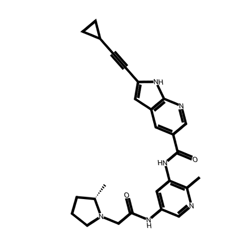 Cc1ncc(NC(=O)CN2CCC[C@@H]2C)cc1NC(=O)c1cnc2[nH]c(C#CC3CC3)cc2c1